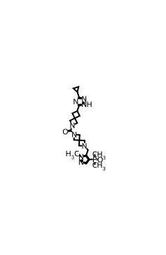 Cn1ncc(P(C)(C)=O)c1CN1CC2(C1)CN(C(=O)N1CC3(CC(c4nc(C5CC5)n[nH]4)C3)C1)C2